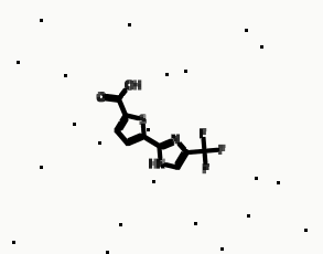 O=C(O)c1ccc(-c2nc(C(F)(F)F)c[nH]2)s1